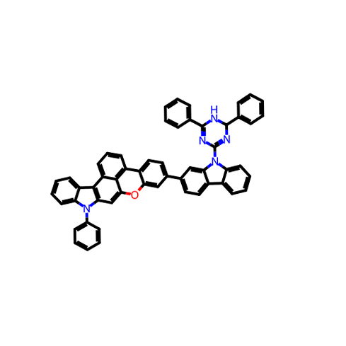 c1ccc(C2=NC(n3c4ccccc4c4ccc(-c5ccc6c(c5)Oc5cc7c(c8cccc-6c58)c5ccccc5n7-c5ccccc5)cc43)=NC(c3ccccc3)N2)cc1